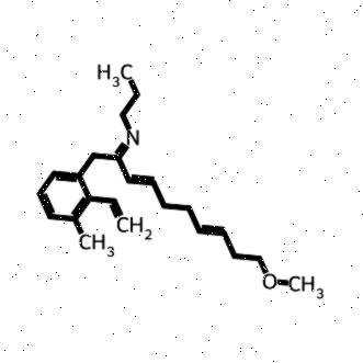 C=Cc1c(C)cccc1CC(/C=C/CC/C=C/CCOC)=N\CCC